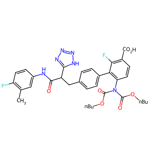 CCCCOC(=O)N(C(=O)OCCCC)c1ccc(C(=O)O)c(F)c1-c1ccc(CC(C(=O)Nc2ccc(F)c(C)c2)c2nnn[nH]2)cc1